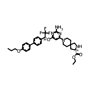 CCCOc1ccc(-c2ccc([C@@H](Oc3cc(N4CCC5(CC4)CN[C@H](C(=O)OCC)C5)nc(N)n3)C(F)(F)F)cc2)cc1